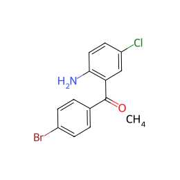 C.Nc1ccc(Cl)cc1C(=O)c1ccc(Br)cc1